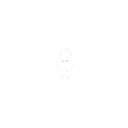 CNS(=O)(=O)Cc1ccccc1.Cl